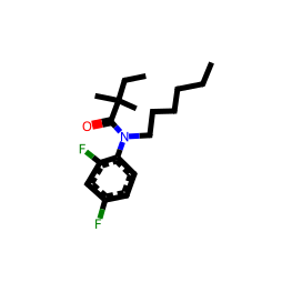 CCCCCCN(C(=O)C(C)(C)CC)c1ccc(F)cc1F